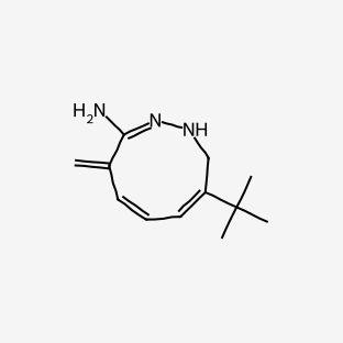 C=C1/C=C\C=C(\C(C)(C)C)CN/N=C\1N